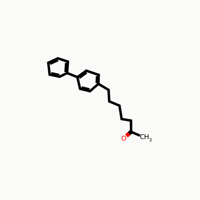 CC(=O)CCCCCc1ccc(-c2ccccc2)cc1